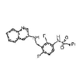 CCCS(=O)(=O)Nc1ccc(F)c(CNc2cnc3ccccc3c2)c1F